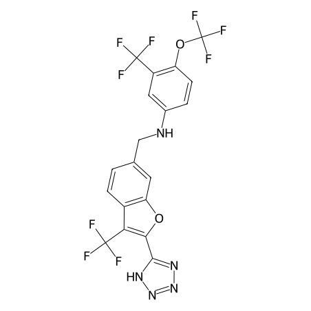 FC(F)(F)Oc1ccc(NCc2ccc3c(C(F)(F)F)c(-c4nnn[nH]4)oc3c2)cc1C(F)(F)F